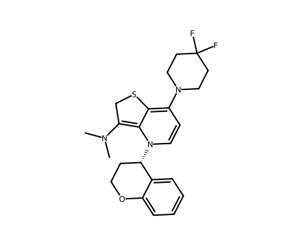 CN(C)C1=C2C(=C(N3CCC(F)(F)CC3)C=CN2[C@H]2CCOc3ccccc32)SC1